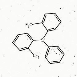 FC(F)(F)c1ccccc1[S+](c1ccccc1)c1ccccc1C(F)(F)F